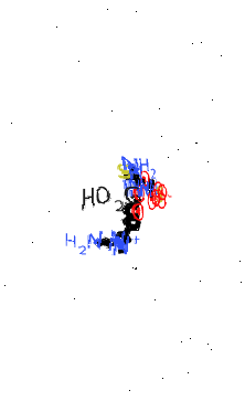 C[n+]1cc(-c2ccc3c(c2)CCC(C(C)(O/N=C(\C(=O)NC2C(=O)N(OS(=O)(=O)[O-])C2(C)C)c2csc(N)n2)C(=O)O)O3)cn1CCCN